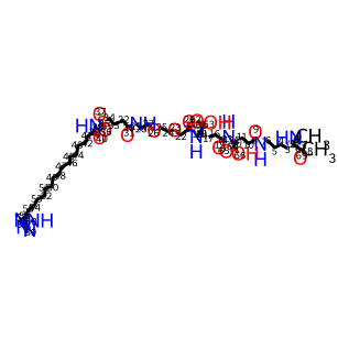 CN[C@@H](CCCCNC(=O)CC[C@H](NC(=O)CC[C@H](NC(=O)COCCOCCNC(=O)CCCS(=O)(=O)NC(=O)CCCCCCCCCCCCCCCc1nnn[nH]1)C(=O)O)C(=O)O)C(C)=O